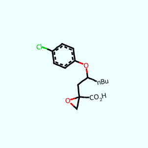 CCCCC(CC1(C(=O)O)CO1)Oc1ccc(Cl)cc1